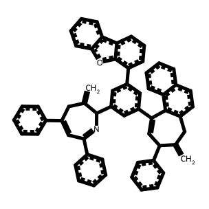 C=C1Cc2ccc3ccccc3c2C(c2cc(-c3cccc4c3oc3ccccc34)cc(C3N=C(c4ccccc4)C=C(c4ccccc4)CC3=C)c2)=CC1c1ccccc1